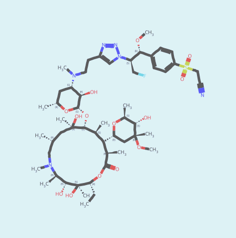 CC[C@H]1OC(=O)[C@H](C)C([C@H]2C[C@@](C)(OC)[C@@H](O)[C@H](C)O2)[C@H](C)[C@@H](O[C@@H]2O[C@H](C)C[C@H](N(C)CCc3cn([C@H](CF)[C@H](OC)c4ccc(S(=O)(=O)CC#N)cc4)nn3)[C@H]2O)[C@](C)(O)C[C@@H](C)CN(C)[C@H](C)[C@@H](O)[C@]1(C)O